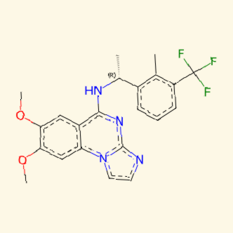 COc1cc2c(N[C@H](C)c3cccc(C(F)(F)F)c3C)nc3nccn3c2cc1OC